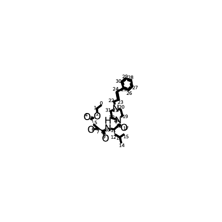 CCOC(=O)[C@H]1O[C@@H]1C(=O)N[C@@H](CC(C)C)C(=O)N1CCN(CC=Cc2ccccc2)CC1